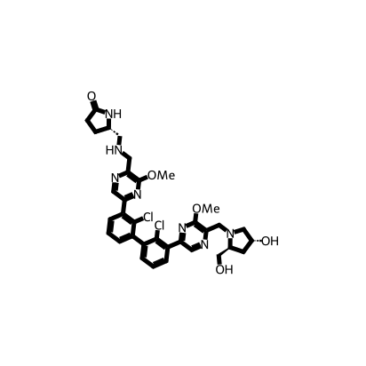 COc1nc(-c2cccc(-c3cccc(-c4cnc(CN5C[C@H](O)C[C@H]5CO)c(OC)n4)c3Cl)c2Cl)cnc1CNC[C@@H]1CCC(=O)N1